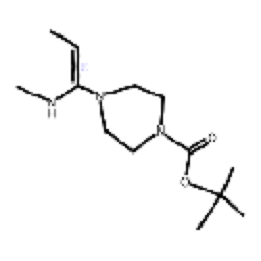 C/C=C(\NC)N1CCN(C(=O)OC(C)(C)C)CC1